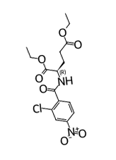 CCOC(=O)CC[C@@H](NC(=O)c1ccc([N+](=O)[O-])cc1Cl)C(=O)OCC